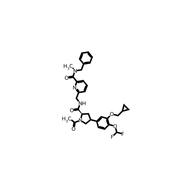 CC(=O)N1CC(c2ccc(OC(F)F)c(OCC3CC3)c2)C[C@@H]1C(=O)NCc1cccc(C(=O)N(C)Cc2ccccc2)n1